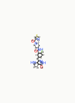 O=C(NC1CCN(C(=O)c2cscn2)CC1)c1cc(Cc2n[nH]c(=O)c3c2NCCC3)ccc1F